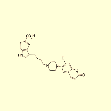 O=C(O)c1ccc2[nH]cc(CCCCN3CCN(c4cc5ccc(=O)oc5cc4F)CC3)c2c1